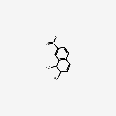 CC1[C]=Cc2ccc([N+](=O)[O-])cc2C1C